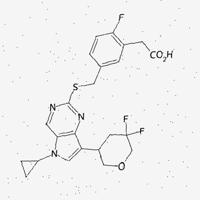 O=C(O)Cc1cc(CSc2ncc3c(n2)c(C2COCC(F)(F)C2)cn3C2CC2)ccc1F